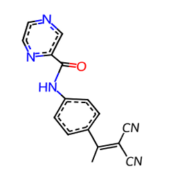 CC(=C(C#N)C#N)c1ccc(NC(=O)c2cnccn2)cc1